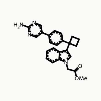 COC(=O)Cn1cc(C2(c3ccc(-c4cnc(N)nc4)cc3)CCC2)c2ccccc21